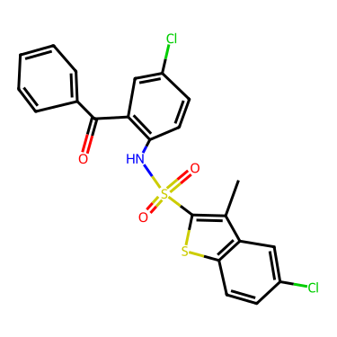 Cc1c(S(=O)(=O)Nc2ccc(Cl)cc2C(=O)c2ccccc2)sc2ccc(Cl)cc12